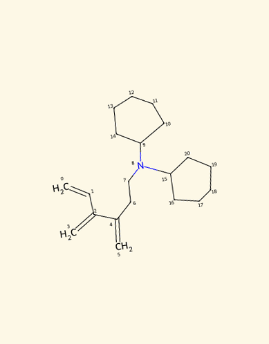 C=CC(=C)C(=C)CCN(C1CCCCC1)C1CCCCC1